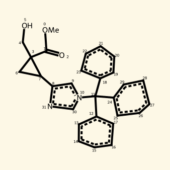 COC(=O)C1(CO)CC1c1cn(C(c2ccccc2)(c2ccccc2)c2ccccc2)cn1